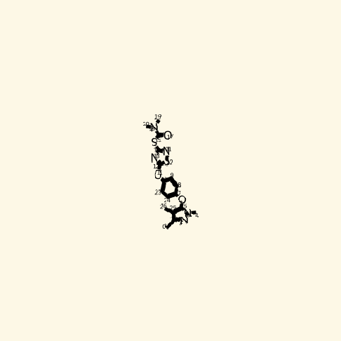 Cc1nn(C)c(Oc2ccc(Oc3nc(SC(=O)N(C)C)ns3)cc2)c1C